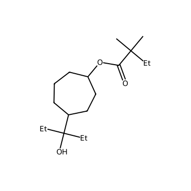 CCC(C)(C)C(=O)OC1CCCC(C(O)(CC)CC)CC1